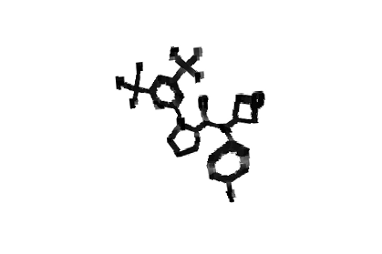 O=C(C1CCCN1c1cc(C(F)(F)F)cc(C(F)(F)F)n1)N(c1ccc(F)cc1)C1COC1